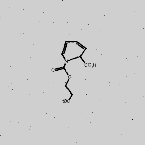 CC(C)(C)CCOC(=O)N1C=CC=CC1C(=O)O